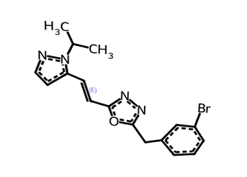 CC(C)n1nccc1/C=C/c1nnc(Cc2cccc(Br)c2)o1